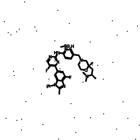 CS(=O)(=O)O.Cc1nc2c(F)cc(-c3nc(Nc4ccc(CN5CCO[C@@](C)(C[C@@H](C)N(C)C)C5)cn4)ncc3F)cc2n1C(C)C